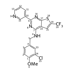 COc1ccc(CNc2nc(-c3cccnc3)nc3sc(C(F)(F)F)cc23)cc1Cl